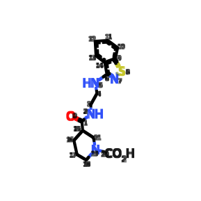 O=C(NCCNc1nsc2ccccc12)C1CCCN(C(=O)O)C1